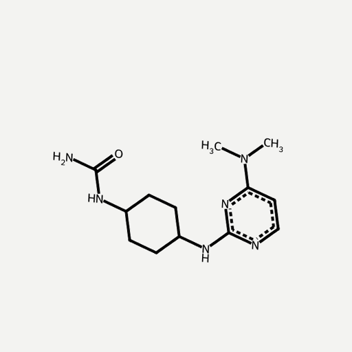 CN(C)c1ccnc(NC2CCC(NC(N)=O)CC2)n1